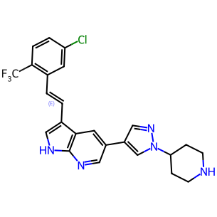 FC(F)(F)c1ccc(Cl)cc1/C=C/c1c[nH]c2ncc(-c3cnn(C4CCNCC4)c3)cc12